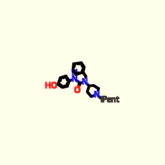 CCCC(C)N1CCC(N(Cc2ccccc2)C(=O)Nc2ccc(O)cc2)CC1